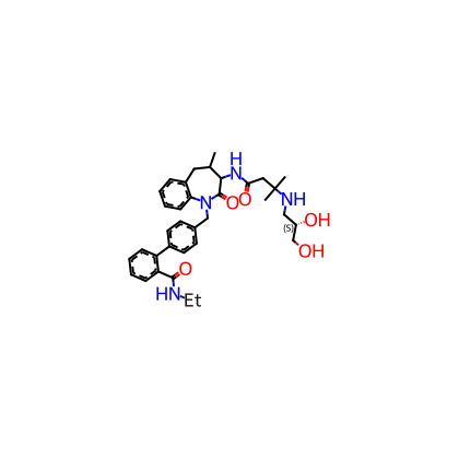 CCNC(=O)c1ccccc1-c1ccc(CN2C(=O)C(NC(=O)CC(C)(C)NC[C@H](O)CO)C(C)Cc3ccccc32)cc1